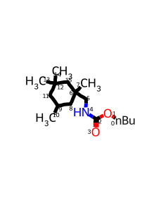 CCCCOC(=O)NCC1(C)CC(C)CC(C)(C)C1